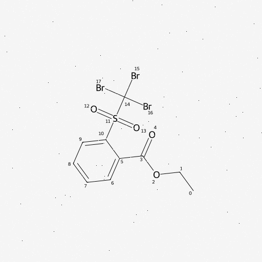 CCOC(=O)c1ccccc1S(=O)(=O)C(Br)(Br)Br